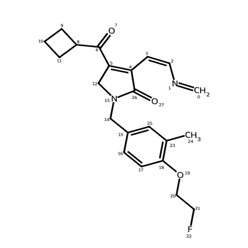 C=N/C=C\C1=C(C(=O)C2CCC2)CN(Cc2ccc(OCCF)c(C)c2)C1=O